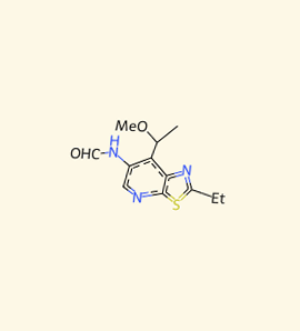 CCc1nc2c(C(C)OC)c(NC=O)cnc2s1